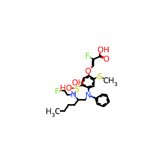 CCCCC1CN(c2ccccc2)c2cc(SC)c(O/C=C(\F)C(=O)O)cc2S(O)(O)N1CCF